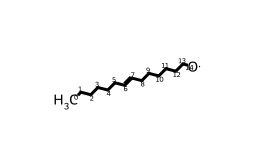 CCCCCCC=CCCCCCC[O]